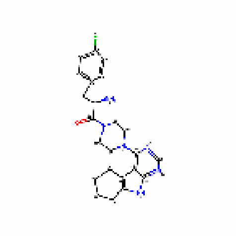 N[C@H](Cc1ccc(Cl)cc1)C(=O)N1CCN(c2ncnc3[nH]c4c(c23)CCCC4)CC1